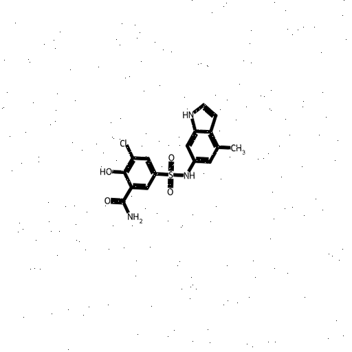 Cc1cc(NS(=O)(=O)c2cc(Cl)c(O)c(C(N)=O)c2)cc2[nH]ccc12